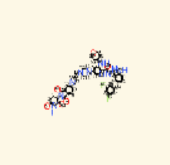 O=C1CCC(N2C(=O)c3ccc(N4CC(CN5CCN(c6ccc(C(=O)Nc7n[nH]c8ccc(Cc9cc(F)cc(F)c9)cc78)c(NC7CCOCC7)c6)CC5)C4)cc3C2=O)C(=O)N1